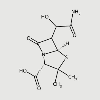 CC1(C)S[C@@H]2C(C(O)C(N)=O)C(=O)N2[C@H]1C(=O)O